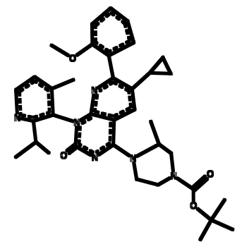 COc1ccccc1-c1nc2c(cc1C1CC1)c(N1CCN(C(=O)OC(C)(C)C)CC1C)nc(=O)n2-c1c(C)ccnc1C(C)C